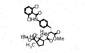 COC(=O)[C@@H](Cc1ccc(NC(=O)c2c(Cl)cccc2Cl)cc1)NC(=O)[C@H]1CC[C@@](C)(C(=O)OC(C)(C)C)C1(C)C